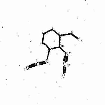 O=C=NC1CCCC(CI)C1N=C=O